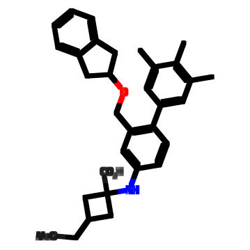 COCC1CC(Nc2ccc(-c3cc(C)c(C)c(C)c3)c(COC3Cc4ccccc4C3)c2)(C(=O)O)C1